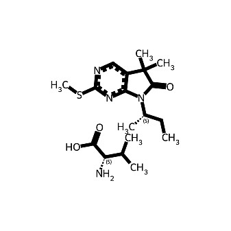 CC(C)[C@H](N)C(=O)O.CC[C@H](C)N1C(=O)C(C)(C)c2cnc(SC)nc21